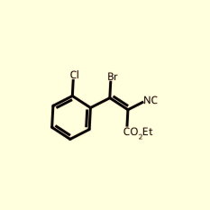 [C-]#[N+]/C(C(=O)OCC)=C(\Br)c1ccccc1Cl